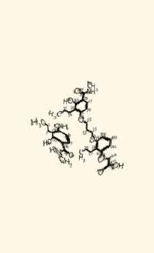 CCCc1c(O)ccc(C(=O)NC)c1O.CCCc1c(OCCCOc2ccc(C(=O)NC)c(O)c2CCC)cccc1OCC(=O)O